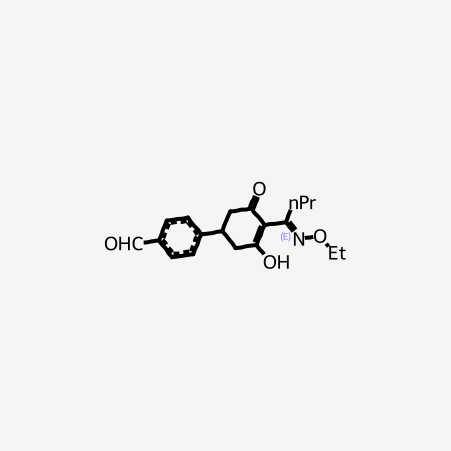 CCC/C(=N\OCC)C1=C(O)CC(c2ccc(C=O)cc2)CC1=O